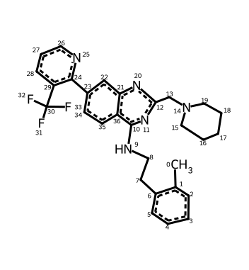 Cc1ccccc1CCNc1nc(CN2CCCCC2)nc2cc(-c3ncccc3C(F)(F)F)ccc12